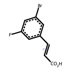 O=C(O)/C=C/c1cc(F)cc(Br)c1